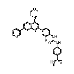 CNC(=O)c1ccc(NC(=O)Nc2ccc(-c3nc(N4CCOCC4)c4ccc(-c5cncnc5)cc4n3)cc2F)cc1